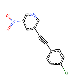 O=[N+]([O-])c1cncc(C#Cc2ccc(Cl)cc2)c1